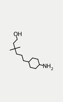 CC(C)(CCO)CCCC1CCC(N)CC1